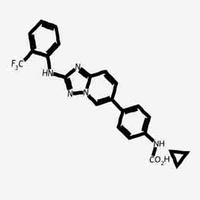 C1CC1.O=C(O)Nc1ccc(-c2ccc3nc(Nc4ccccc4C(F)(F)F)nn3c2)cc1